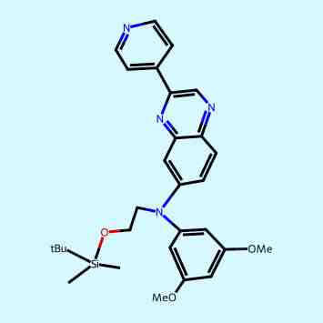 COc1cc(OC)cc(N(CCO[Si](C)(C)C(C)(C)C)c2ccc3ncc(-c4ccncc4)nc3c2)c1